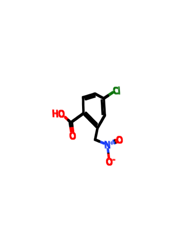 O=C(O)c1ccc(Cl)cc1C[N+](=O)[O-]